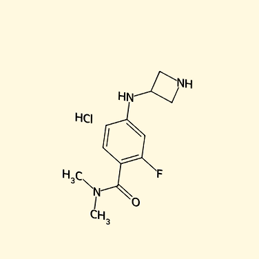 CN(C)C(=O)c1ccc(NC2CNC2)cc1F.Cl